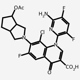 CC(=O)OC1CCC2CN(c3c(F)cc4c(=O)c(C(=O)O)cn(-c5nc(N)c(F)cc5F)c4c3Cl)CC21